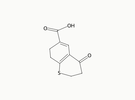 O=C(O)C1=CC2=C(CC1)SCCC2=O